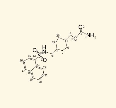 NC(=O)OCC1CCC(CNS(=O)(=O)c2cccc3ccccc23)CC1